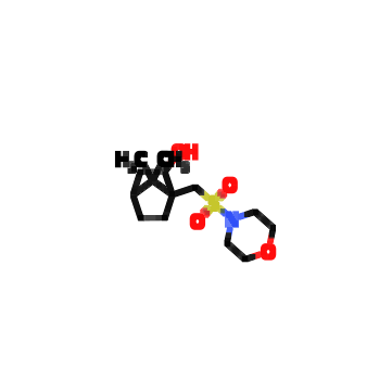 CC1(C)C2CCC1(CS(=O)(=O)N1CCOCC1)C(O)C2